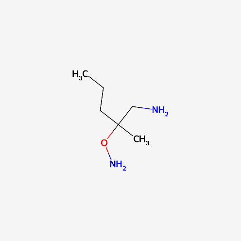 CCCC(C)(CN)ON